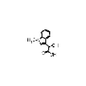 Cn1cc(C(O)C(=O)O)c2ccccc21